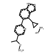 CC(OS(=O)(=O)O)c1ccc(-c2ccc3[nH]ncc3c2C2CC2)nc1.CCCN